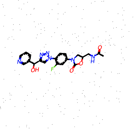 CC(=O)NCC1CN(c2ccc(-n3cc(C(O)c4cccnc4)nn3)c(F)c2)C(=O)O1